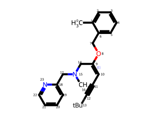 Cc1ccccc1CO/C(=C/C#CC(C)(C)C)CN(C)Cc1ccccn1